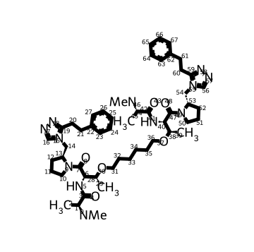 CN[C@@H](C)C(=O)N[C@H](C(=O)N1CCC[C@H]1Cn1cnnc1CCc1ccccc1)[C@@H](C)OCCCCCCO[C@H](C)[C@H](NC(=O)[C@H](C)NC)C(=O)N1CCC[C@H]1Cn1cnnc1CCc1ccccc1